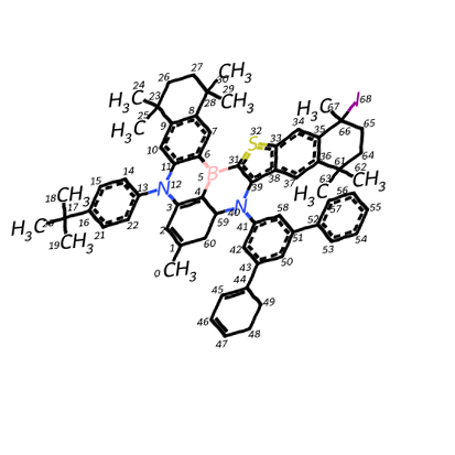 CC1=CC2=C3B(c4cc5c(cc4N2c2ccc(C(C)(C)C)cc2)C(C)(C)CCC5(C)C)c2sc4cc5c(cc4c2N(c2cc(C4=CC=CCC4)cc(-c4ccccc4)c2)C3C1)C(C)(C)CCC5(C)I